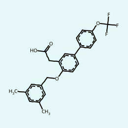 Cc1cc(C)cc(COc2ccc(-c3ccc(OC(F)(F)F)cc3)cc2CC(=O)O)c1